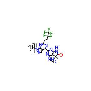 [2H]C([2H])([2H])n1ncc2c(-c3nc(N)c4c(n3)NC(=O)C4(C)C3CC3)nc(CCC(F)(F)C(F)(F)F)nc21